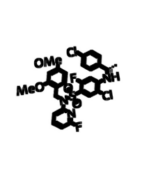 COc1ccc(CN(c2cccc(F)n2)S(=O)(=O)c2cc(Cl)c(N[C@@H](C)c3ccc(Cl)cc3)cc2F)c(OC)c1